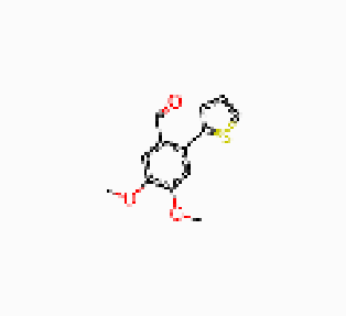 COc1cc(C=O)c(-c2cccs2)cc1OC